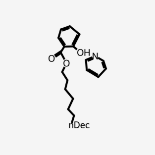 CCCCCCCCCCCCCCCCOC(=O)c1ccccc1O.c1ccncc1